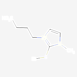 CCSc1n(C)cc[n+]1CCCS(=O)(=O)O